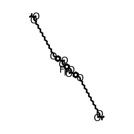 C=C(C)C(=O)OCCCCCCCCCCCCCCCCCOc1ccc(C(=O)Oc2ccc(OC(=O)c3ccc(OCCCCCCCCCCCCCCCCCOC(=O)C(=C)C)cc3)c(F)c2F)cc1